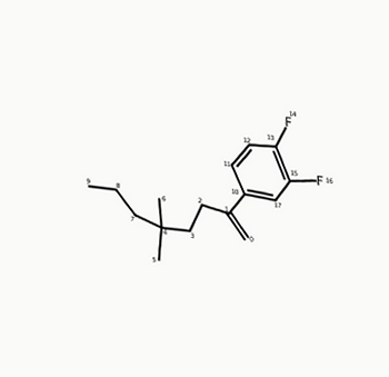 C=C(CCC(C)(C)CCC)c1ccc(F)c(F)c1